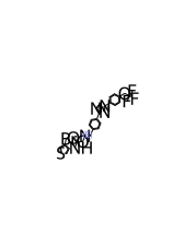 O=C(Nc1cscc1Br)O/N=C/c1ccc(-c2ncn(-c3ccc(OC(F)(F)F)cc3)n2)cc1